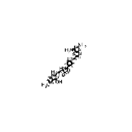 Cc1cnc(NCCCC[C@H](NC(=O)c2ccc(NCc3cnc4nc(N)nc(N)c4n3)cc2)C(=O)O)c(C(=O)O)c1